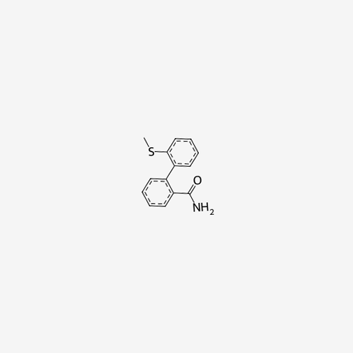 CSc1ccccc1-c1ccccc1C(N)=O